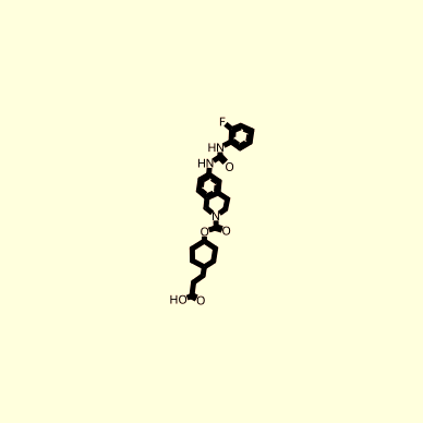 O=C(O)CCC1CCC(OC(=O)N2CCc3cc(NC(=O)Nc4ccccc4F)ccc3C2)CC1